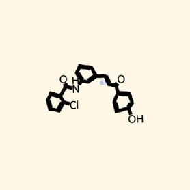 O=C(/C=C/c1cccc(NC(=O)c2ccccc2Cl)c1)c1ccc(O)cc1